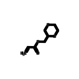 C=CC(=O)OCC1COCCO1